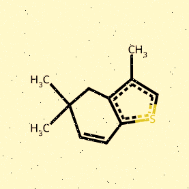 Cc1csc2c1CC(C)(C)C=C2